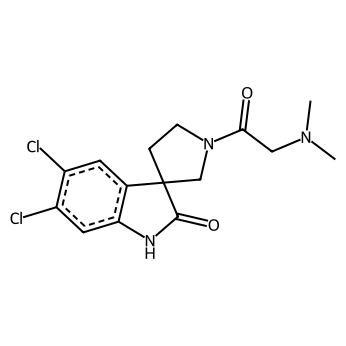 CN(C)CC(=O)N1CCC2(C1)C(=O)Nc1cc(Cl)c(Cl)cc12